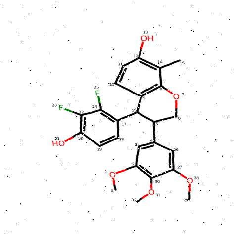 COc1cc(C2COc3c(ccc(O)c3C)C2c2ccc(O)c(F)c2F)cc(OC)c1OC